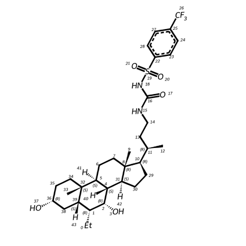 CC[C@H]1[C@@H](O)[C@@H]2[C@H](CC[C@]3(C)[C@@H]([C@H](C)CCNC(=O)NS(=O)(=O)c4ccc(C(F)(F)F)cc4)CC[C@@H]23)[C@@]2(C)CC[C@@H](O)C[C@@H]12